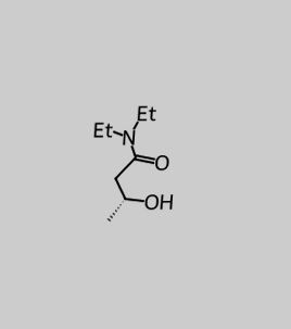 CCN(CC)C(=O)C[C@@H](C)O